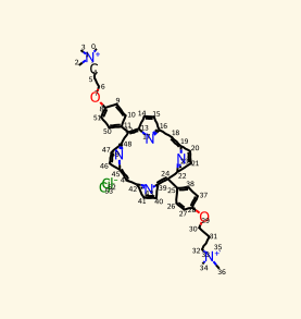 C[N+](C)(C)CCCOc1ccc(C2=C3C=CC(=N3)C=C3C=CC(=N3)C(c3ccc(OCCC[N+](C)(C)C)cc3)=C3C=CC(=N3)C=C3C=CC2=N3)cc1.[Cl-].[Cl-]